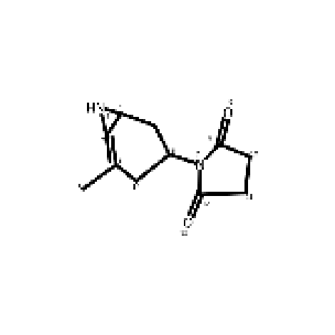 CC1=C2NC2CC(N2C(=O)CCC2=O)C1